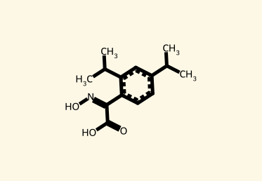 CC(C)c1ccc(C(=NO)C(=O)O)c(C(C)C)c1